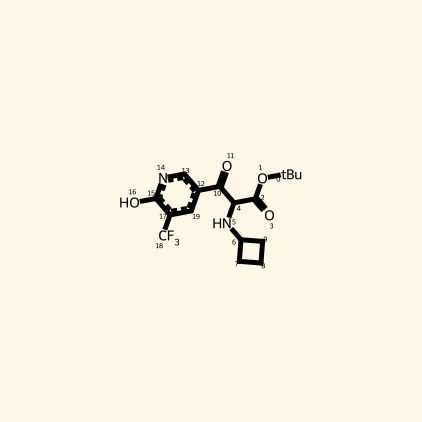 CC(C)(C)OC(=O)C(NC1CCC1)C(=O)c1cnc(O)c(C(F)(F)F)c1